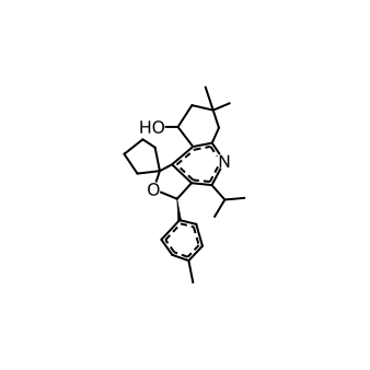 Cc1ccc([C@H]2OC3(CCCC3)c3c4c(nc(C(C)C)c32)CC(C)(C)CC4O)cc1